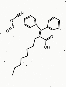 CCCCCCCCC(C(=O)O)=C(c1ccccc1)c1ccccc1.N#CON=O